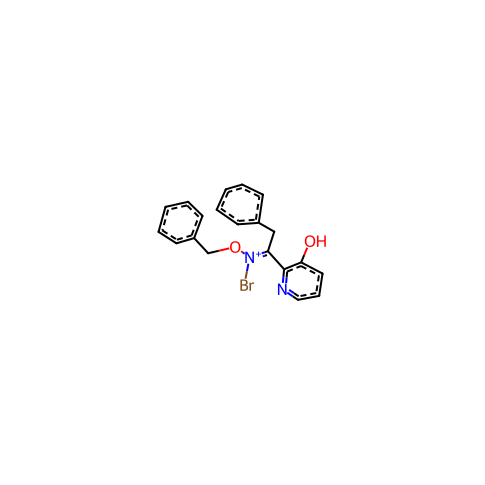 Oc1cccnc1C(Cc1ccccc1)=[N+](Br)OCc1ccccc1